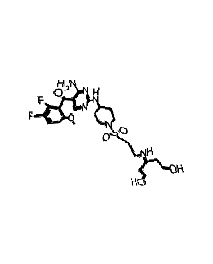 COc1ccc(F)c(F)c1C(=O)c1cnc(NC2CCN(S(=O)(=O)CCCNC(CCO)CCO)CC2)nc1N